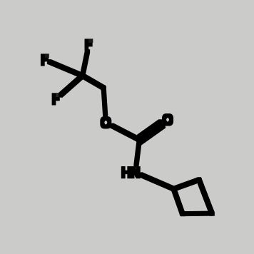 O=C(NC1CCC1)OCC(F)(F)F